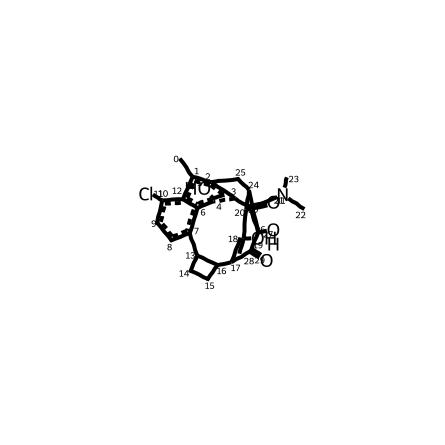 Cc1c2c3c(O)c4c(ccc(Cl)c14)C1CCC1C1=C(O)C(N(C)C)C(C2)C(O)(C1=O)C3=O